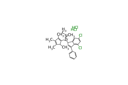 CC1=C(C)C(C)[C]([Zr]([CH]2C=C(c3ccccc3)c3c(Cl)cc(Cl)cc32)=[Si](C)C)=C1C.Cl.Cl